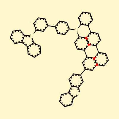 c1ccc(-c2ccc(-c3ccccc3N(c3ccc(-c4cccc(-c5ccc6c(c5)oc5ccccc56)c4)cc3)c3ccc(-c4cccc(-n5c6ccccc6c6ccccc65)c4)cc3)cc2)cc1